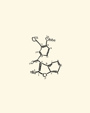 CCCCc1oc2ccccc2c1C(=O)c1ccc(OC)c(Cl)c1